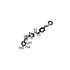 O=C(Nc1csc(N/N=C/c2ccc(O)c(O)c2O)n1)c1ccc(CCN2CCCC2)cc1